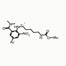 CC(=O)c1cc(C(=O)N(C)C)c(N[C@H](C)CCCCNC(=O)OC(C)(C)C)c([N+](=O)[O-])c1